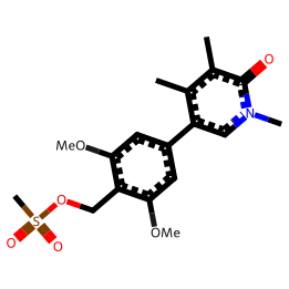 COc1cc(-c2cn(C)c(=O)c(C)c2C)cc(OC)c1COS(C)(=O)=O